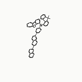 CC1(C)c2ccccc2-c2c(N(c3ccc(-c4ccc5cc(-c6ccc7ccccc7c6)ccc5c4)cc3)c3cccc4c3oc3ccccc34)cccc21